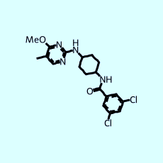 COc1nc(NC2CCC(NC(=O)c3cc(Cl)cc(Cl)c3)CC2)ncc1C